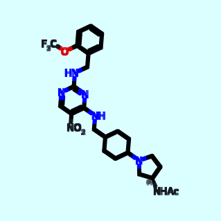 CC(=O)N[C@@H]1CCN(C2CCC(CNc3nc(NCc4ccccc4OC(F)(F)F)ncc3[N+](=O)[O-])CC2)C1